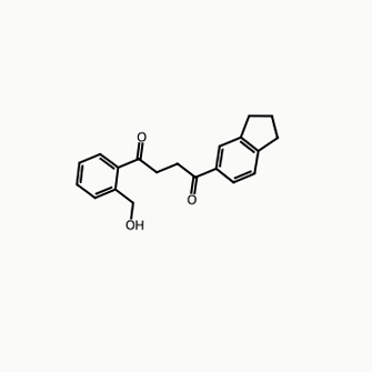 O=C(CCC(=O)c1ccccc1CO)c1ccc2c(c1)CCC2